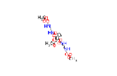 COC(=O)OCCNCCCNC(=O)Oc1c2ccccc2c(OC(=O)NCCCNCCOC(=O)OC)c2oc(C(C)=O)cc12